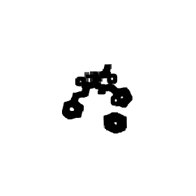 CC(=O)N[C@@H](SCc1ccco1)C(=O)CCc1ccccc1.c1cc2cc(c1)O2